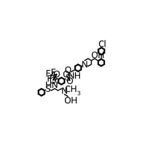 CN(CCO)CCC(CSc1ccccc1)Nc1ccc(S(=O)(=O)NC(=O)c2ccc(N3CCC([C@@H](O)c4ccccc4-c4ccc(Cl)cc4)CC3)cc2)cc1S(=O)(=O)C(F)(F)F